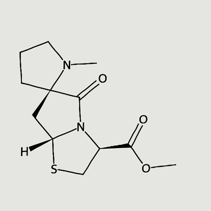 COC(=O)[C@H]1CS[C@@H]2C[C@]3(CCCN3C)C(=O)N12